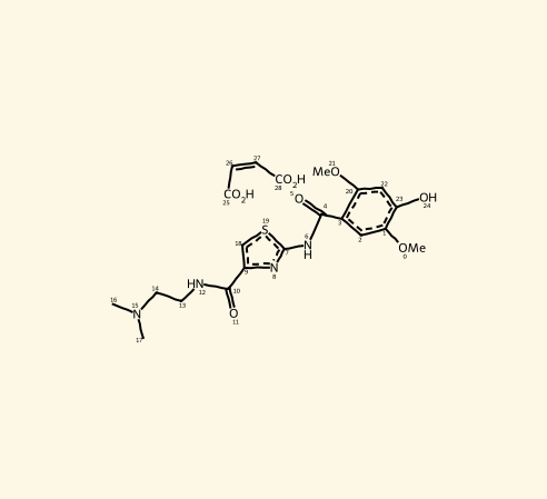 COc1cc(C(=O)Nc2nc(C(=O)NCCN(C)C)cs2)c(OC)cc1O.O=C(O)/C=C\C(=O)O